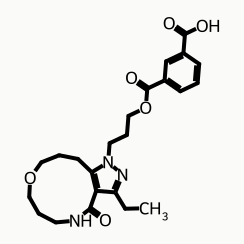 CCc1nn(CCCOC(=O)c2cccc(C(=O)O)c2)c2c1C(=O)NCCCOCCC2